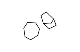 C1CC2CCC1C2.C1CCCCCC1